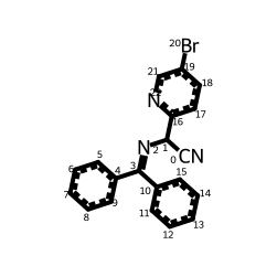 N#CC(N=C(c1ccccc1)c1ccccc1)c1ccc(Br)cn1